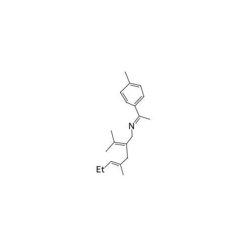 CCC=C(C)CC(C/N=C(\C)c1ccc(C)cc1)=C(C)C